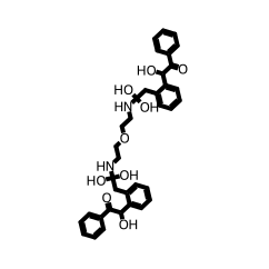 O=C(c1ccccc1)C(O)c1ccccc1CC(O)(O)NCCOCCNC(O)(O)Cc1ccccc1C(O)C(=O)c1ccccc1